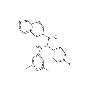 Cc1cc(C)cc(NC(C(=O)c2ccc3ccccc3c2)c2ccc(F)cc2)c1